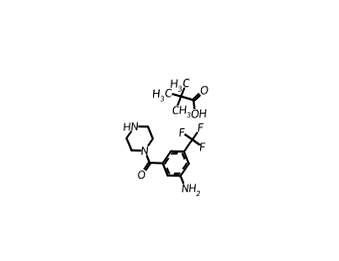 CC(C)(C)C(=O)O.Nc1cc(C(=O)N2CCNCC2)cc(C(F)(F)F)c1